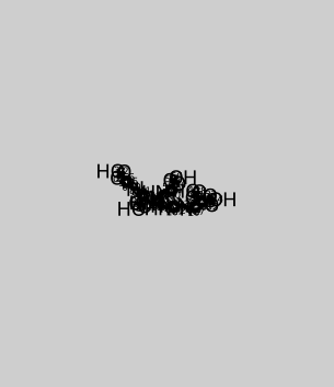 O=S(=O)(O)c1ccc(N=Nc2ccc(Nc3nc(Nc4ccc(N=Nc5ccc6cc(S(=O)(=O)O)cc(S(=O)(=O)O)c6c5)cc4)nc(Nc4cccc(S(=O)(=O)O)c4)n3)c(S(=O)(=O)O)c2)cc1